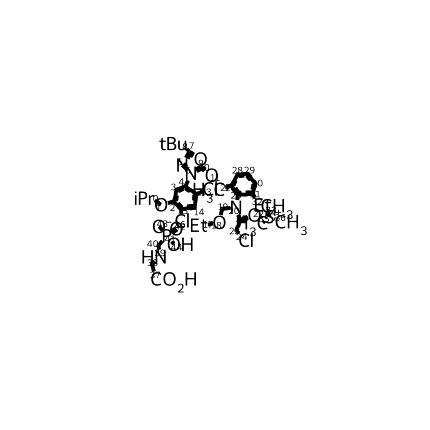 CC(C)Oc1cc(-n2nc(C(C)(C)C)oc2=O)c(Cl)cc1Cl.CCOCN(C(=O)CCl)c1c(C)cccc1CC.C[S+](C)C.O=C(O)CNCP(=O)([O-])O